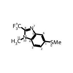 CSc1ccc2c(c1)nc(C(F)(F)F)n2C